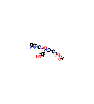 C=C(C)C(=O)OCOC(=O)CN1CCC(C2CCN(C(=O)[C@@H](Cc3cc(C)c(O)c(C)c3)OC(=O)N3CCC(N4CCc5ccccc5NC4=O)CC3)CC2)CC1